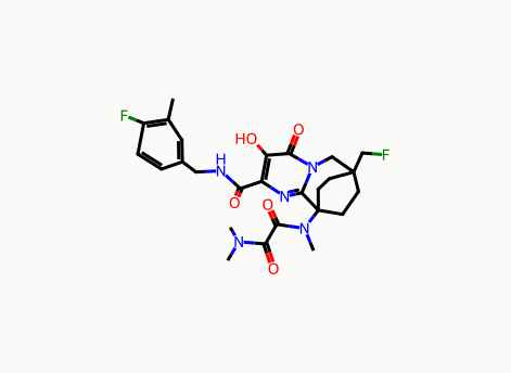 Cc1cc(CNC(=O)c2nc3n(c(=O)c2O)CC2(CF)CCC3(N(C)C(=O)C(=O)N(C)C)CC2)ccc1F